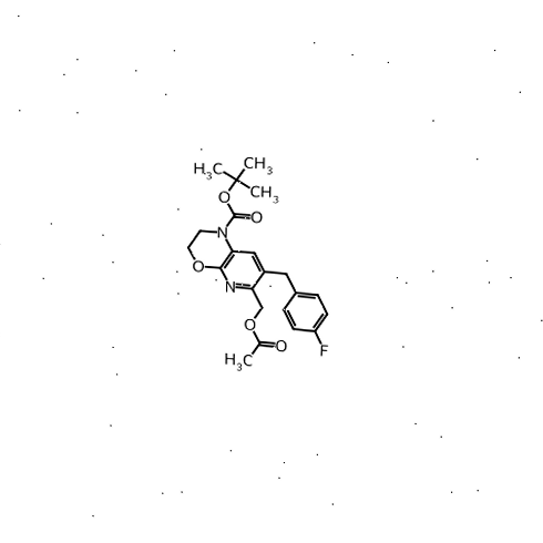 CC(=O)OCc1nc2c(cc1Cc1ccc(F)cc1)N(C(=O)OC(C)(C)C)CCO2